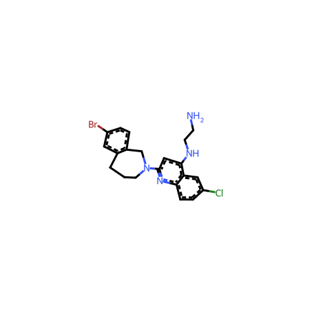 NCCNc1cc(N2CCCc3cc(Br)ccc3C2)nc2ccc(Cl)cc12